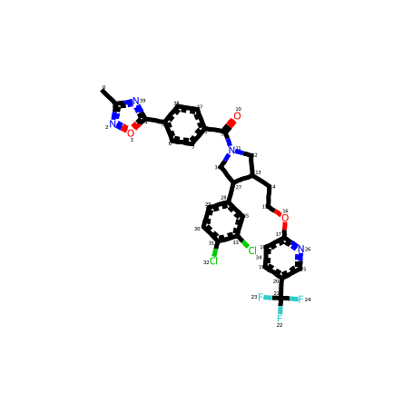 Cc1noc(-c2ccc(C(=O)N3CC(CCOc4ccc(C(F)(F)F)cn4)C(c4ccc(Cl)c(Cl)c4)C3)cc2)n1